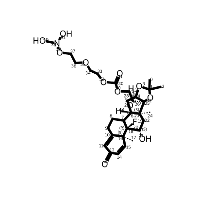 CC1(C)O[C@@H]2C[C@H]3C4CCC5=CC(=O)C=C[C@]5(C)[C@@]4(F)[C@@H](O)C[C@]3(C)[C@]2(C(=O)COC(=O)OCCOCCON(O)O)O1